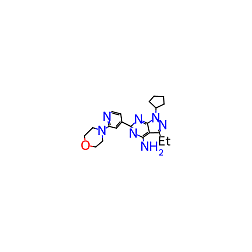 CCc1nn(C2CCCC2)c2nc(-c3ccnc(N4CCOCC4)c3)nc(N)c12